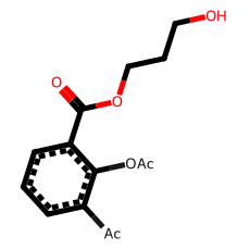 CC(=O)Oc1c(C(C)=O)cccc1C(=O)OCCCO